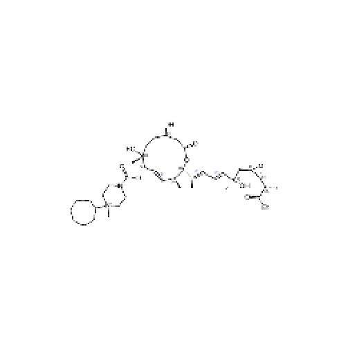 CCC(=O)[C@@H](C)[C@H]1O[C@@H]1C[C@@](C)(O)/C=C/C=C(\C)[C@H]1OC(=O)C[C@H](O)CC[C@@](C)(O)[C@@H](OC(=O)N2CC[N+](C)(C3CCCCCC3)CC2)/C=C/[C@@H]1C